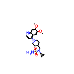 COc1cc2nccc(N3CCC(CN(C4CC4)S(N)(=O)=O)CC3)c2cc1OC